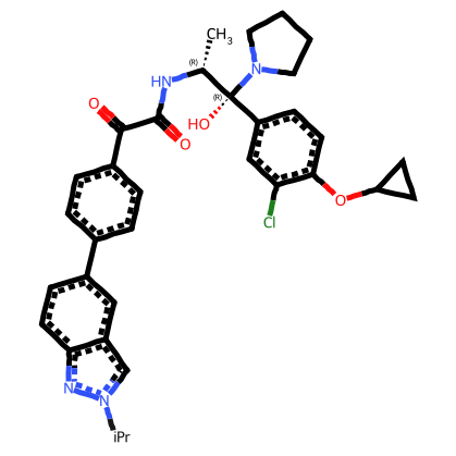 CC(C)n1cc2cc(-c3ccc(C(=O)C(=O)N[C@H](C)[C@](O)(c4ccc(OC5CC5)c(Cl)c4)N4CCCC4)cc3)ccc2n1